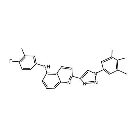 Cc1cc(Nc2cccc3nc(-c4cn(-c5cc(C)c(C)c(C)c5)nn4)ccc23)ccc1F